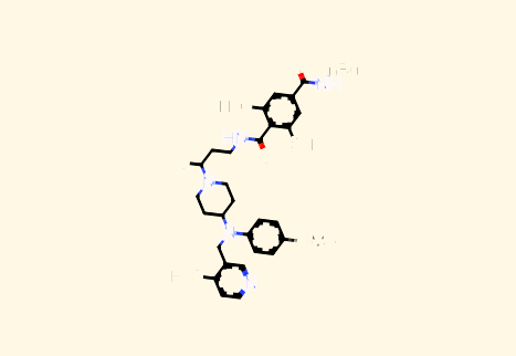 CCCCNC(=O)c1cc(C)c(C(=O)NCCC(C)N2CCC(N(Cc3cnccc3C)c3ccc(OC)cc3)CC2)c(C)c1